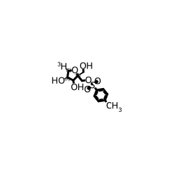 [3H][C@@H]1O[C@](CO)(COS(=O)(=O)c2ccc(C)cc2)C(O)[C@@H]1O